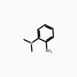 CN(C)c1c[c]ccc1[N+](=O)[O-]